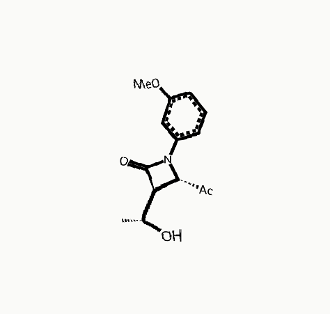 COc1cccc(N2C(=O)[C@H]([C@@H](C)O)[C@H]2C(C)=O)c1